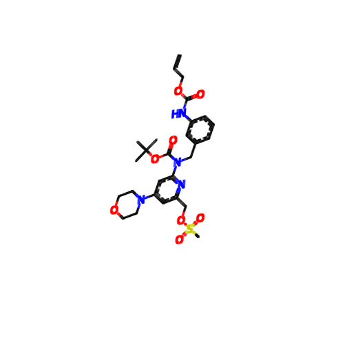 C=CCOC(=O)Nc1cccc(CN(C(=O)OC(C)(C)C)c2cc(N3CCOCC3)cc(COS(C)(=O)=O)n2)c1